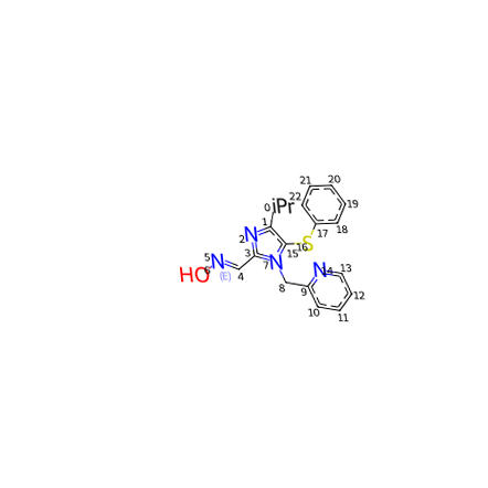 CC(C)c1nc(/C=N/O)n(Cc2ccccn2)c1Sc1ccccc1